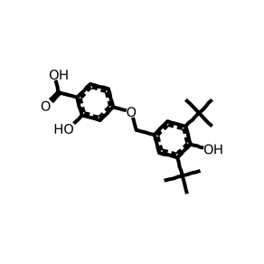 CC(C)(C)c1cc(COc2ccc(C(=O)O)c(O)c2)cc(C(C)(C)C)c1O